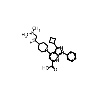 CN(C)C[C@@H](F)C1CCN(c2cc(C(=O)O)nc3c2c(C2CCC2)nn3-c2ccccc2)CC1